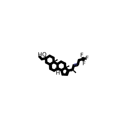 CC[C@]1(O)CC[C@@]2(C)C(=CC[C@@H]3C2CC[C@]2(C)C([C@H](C)/C=C/CC(F)(F)F)=CCC32)C1